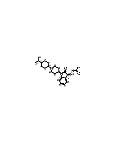 CC(=O)N/N=C1\C(=O)N(C2CCN(C3CCC(C(C)C)CC3)CC2)c2ccccc21